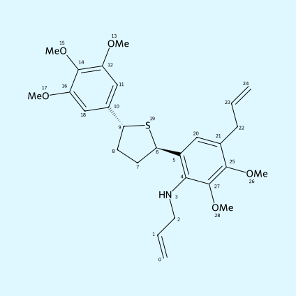 C=CCNc1c([C@H]2CC[C@H](c3cc(OC)c(OC)c(OC)c3)S2)cc(CC=C)c(OC)c1OC